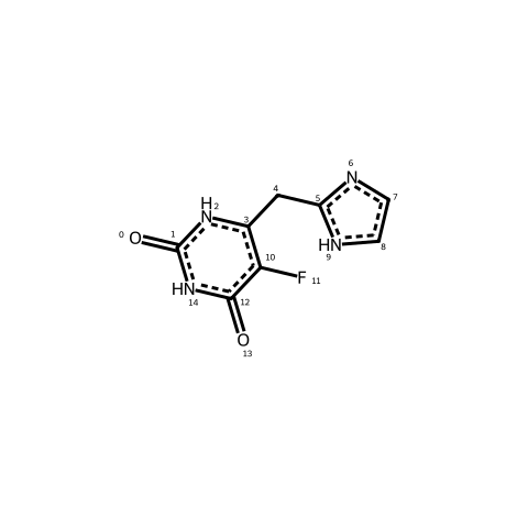 O=c1[nH]c(Cc2ncc[nH]2)c(F)c(=O)[nH]1